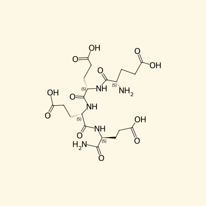 NC(=O)[C@H](CCC(=O)O)NC(=O)[C@H](CCC(=O)O)NC(=O)[C@H](CCC(=O)O)NC(=O)[C@@H](N)CCC(=O)O